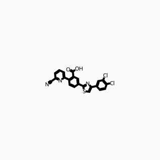 N#Cc1cccc(-c2ccc(-c3nc(-c4ccc(Cl)c(Cl)c4)cs3)cc2C(=O)O)n1